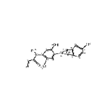 C=CC(=O)N(CC)c1cc(O)c(-n2n3c4ccc(Cl)cc4n23)cc1CC